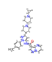 Cc1ccc(-n2nc(C3CCN(C4CCN(C5CC5)CC4)CC3)cc2NC(=O)c2cnn3cccnc23)cc1